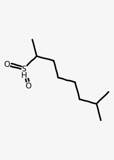 CC(C)CCCCC(C)[SH](=O)=O